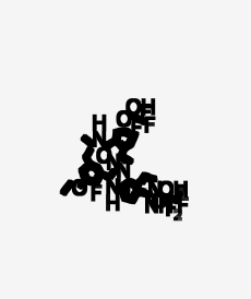 CCNC(=O)c1ccccc1-c1c[nH]c(C(Nc2ccc3c(N)nccc3c2)c2cc(CC)cc(OCC)c2F)n1.O=C(O)C(F)(F)F.O=C(O)C(F)(F)F